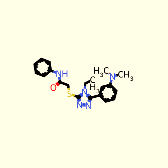 CCn1c(SCC(=O)Nc2ccccc2)nnc1-c1cccc(N(C)C)c1